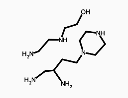 NCC(N)CCN1CCNCC1.NCCNCCO